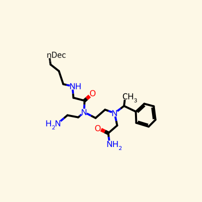 CCCCCCCCCCCCCNCC(=O)N(CCN)CCN(CC(N)=O)C(C)c1ccccc1